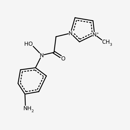 C[n+]1ccn(CC(=O)N(O)c2ccc(N)cc2)c1